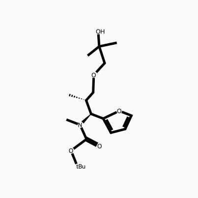 C[C@H](COCC(C)(C)O)[C@@H](c1ccco1)N(C)C(=O)OC(C)(C)C